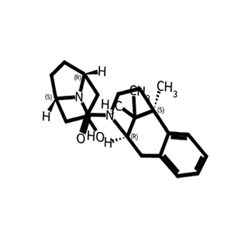 CC1(C)[C@H]2Cc3ccccc3[C@]1(C)CCN2C(=O)N1[C@@H]2CC[C@H]1CC(O)C2